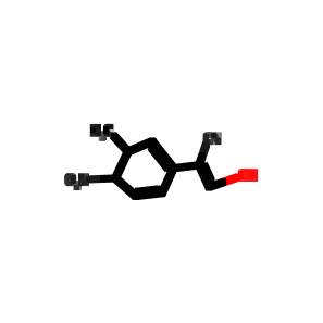 CC1C=C(/C(C#N)=C/O)C=CC1[N+](=O)[O-]